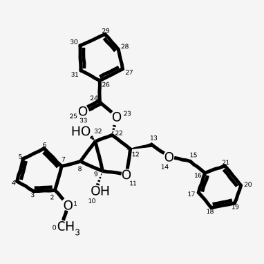 COc1ccccc1C1[C@]2(O)O[C@H](COCc3ccccc3)[C@@H](OC(=O)c3ccccc3)[C@]12O